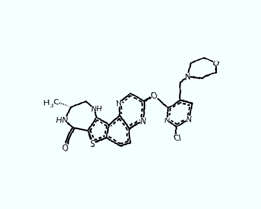 C[C@@H]1CNc2c(sc3ccc4nc(Oc5nc(Cl)ncc5CN5CCOCC5)cnc4c23)C(=O)N1